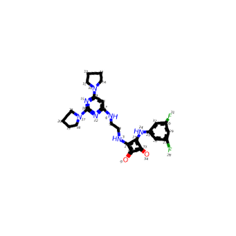 O=c1c(NCCNc2cc(N3CCCC3)nc(N3CCCC3)n2)c(Nc2cc(F)cc(F)c2)c1=O